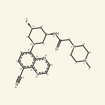 CN1CCN(CC(=O)N[C@@H]2C[C@H](F)CN(c3ccc(C#N)c4nccnc34)C2)CC1